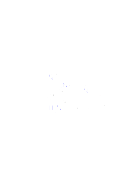 COc1ccc(C(N)c2nc(C)nc3ccccc23)cn1